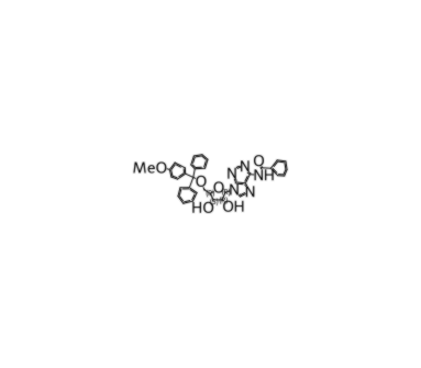 COc1ccc(C(OC[C@H]2O[C@@H](n3cnc4c(NC(=O)c5ccccc5)ncnc43)[C@H](O)[C@@H]2O)(c2ccccc2)c2ccccc2)cc1